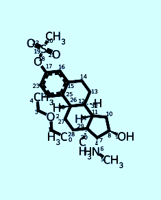 CCOCC.CN[C@H]1[C@H](O)C[C@H]2[C@@H]3CCc4cc(OS(C)(=O)=O)ccc4[C@H]3CC[C@@]21C